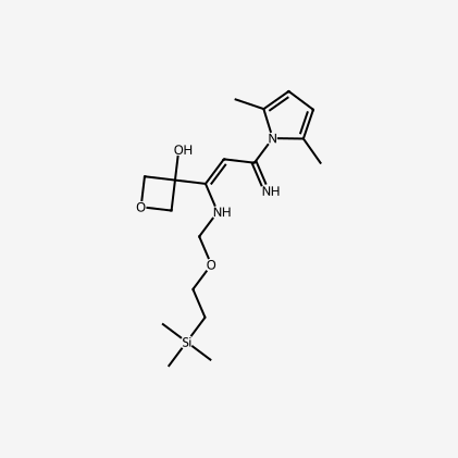 Cc1ccc(C)n1C(=N)/C=C(\NCOCC[Si](C)(C)C)C1(O)COC1